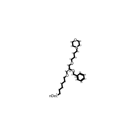 CCCCCCCCCCCCCCCCOC[C@@H](COCCCCN1CCOCC1)OCc1ccccc1